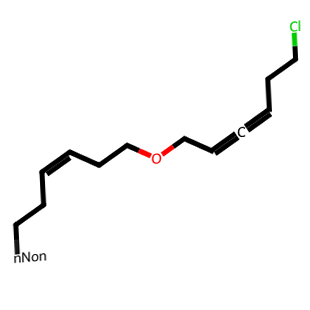 CCCCCCCCCCC/C=C\CCOCC=C=CCCCl